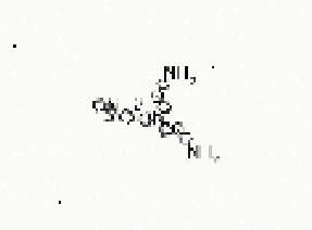 CCC1(CC)c2cc(-c3nc4ccccc4s3)ccc2-c2ccc(N(c3cccc(Oc4ccc(N)cc4)c3)c3cccc(Oc4ccc(N)cc4)c3)cc21